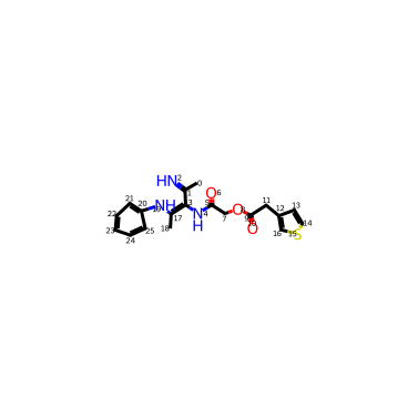 CC(=N)/C(NC(=O)COC(=O)Cc1ccsc1)=C(/C)Nc1ccccc1